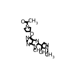 CCn1ncc(-c2nc3c(O[C@H]4CCN(C(C)=O)C4)ncnc3n2C)c1C